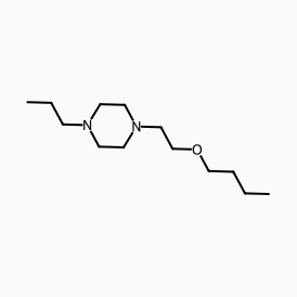 CCCCOCCN1CCN(CCC)CC1